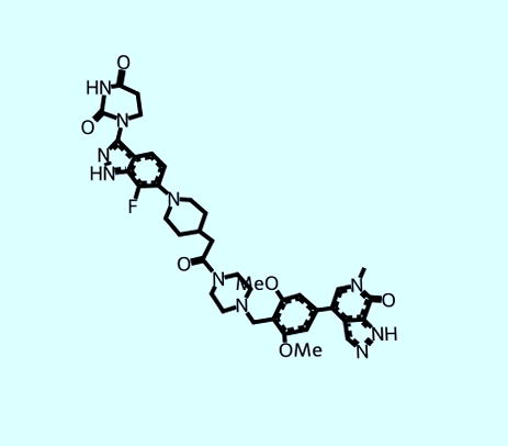 COc1cc(-c2cn(C)c(=O)c3[nH]ncc23)cc(OC)c1CN1CCN(C(=O)CC2CCN(c3ccc4c(N5CCC(=O)NC5=O)n[nH]c4c3F)CC2)CC1